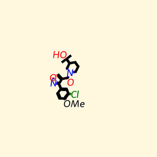 COc1ccc(-c2nocc2C(=O)N2CCCC(C(C)(C)O)C2)cc1Cl